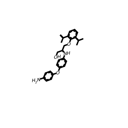 CC(C)c1cccc(C(C)C)c1OCC(CO)Nc1ccc(Oc2ccc(N)cc2)cc1